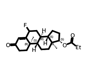 CCC(=O)O[C@H]1CC[C@H]2[C@@H]3CC(F)C4=CC(=O)CC[C@]4(C)[C@H]3CC[C@]12C